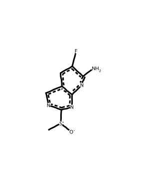 C[S+]([O-])c1ncc2cc(F)c(N)nc2n1